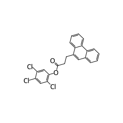 O=C(CCc1cc2ccccc2c2ccccc12)Oc1cc(Cl)c(Cl)cc1Cl